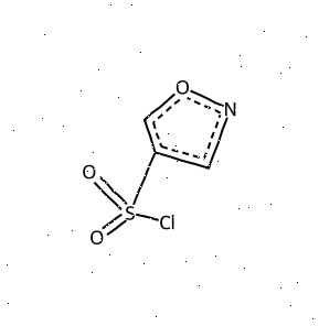 O=S(=O)(Cl)c1cnoc1